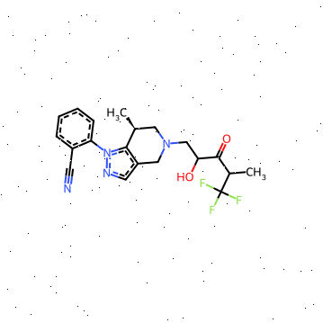 CC(C(=O)C(O)CN1Cc2cnn(-c3ccccc3C#N)c2[C@@H](C)C1)C(F)(F)F